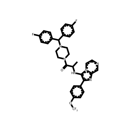 CC(Nc1c(-c2ccc(OC(F)(F)F)cc2)nc2cnccn12)C(=O)N1CCN(C(c2ccc(F)cc2)c2ccc(F)cc2)CC1